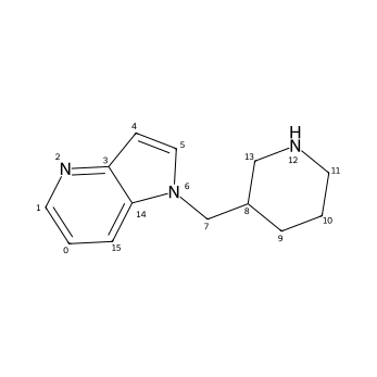 c1cnc2ccn(CC3CCCNC3)c2c1